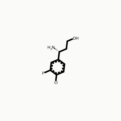 N[C@H](CCO)c1ccc(Cl)c(F)c1